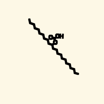 CCCCCCCCCCCCC(CCCCCCCCCC)OC(=O)O